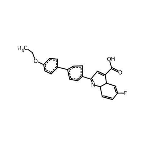 CCOc1ccc(-c2ccc(C3=NC4C=CC(F)=CC4C(C(=O)O)=C3)cc2)cc1